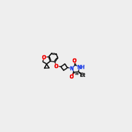 CC[C@@H]1NC(=O)N(C2CC(Oc3cccc4c3C3(CC3)CO4)C2)C1=O